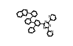 c1ccc(-c2cc(-c3nc(-c4ccccn4)nc(-c4ccccn4)n3)ccc2-c2ccccc2-c2ccccc2-c2ccc3ccccc3c2)cc1